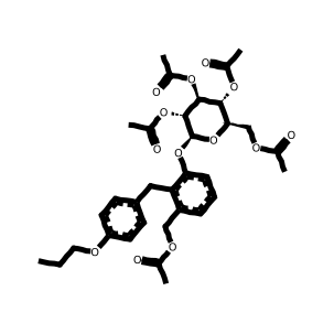 CCCOc1ccc(Cc2c(COC(C)=O)cccc2O[C@@H]2O[C@H](COC(C)=O)[C@@H](OC(C)=O)[C@H](OC(C)=O)[C@H]2OC(C)=O)cc1